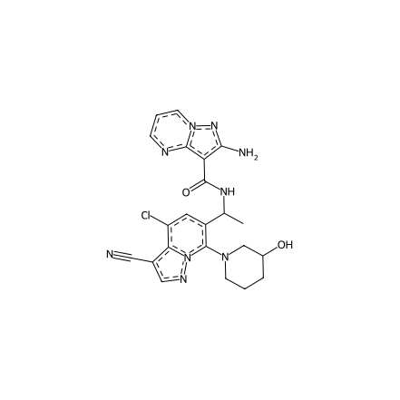 CC(NC(=O)c1c(N)nn2cccnc12)c1cc(Cl)c2c(C#N)cnn2c1N1CCCC(O)C1